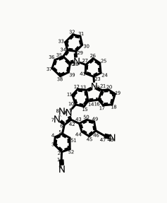 N#Cc1ccc(-c2nnn(-c3ccc4c(c3)c3ccccc3n4-c3cccc(-n4c5ccccc5c5ccccc54)c3)c2-c2ccc(C#N)cc2)cc1